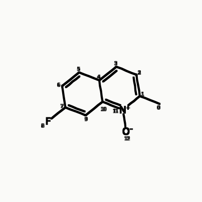 Cc1ccc2ccc(F)cc2[n+]1[O-]